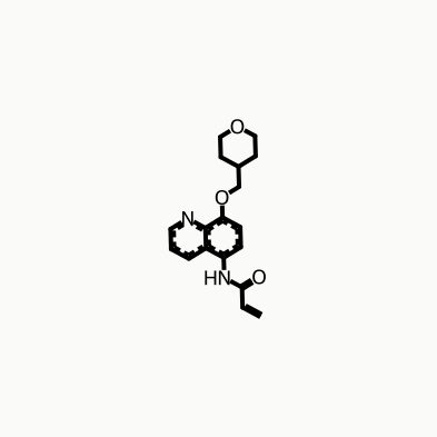 C=CC(=O)Nc1ccc(OCC2CCOCC2)c2ncccc12